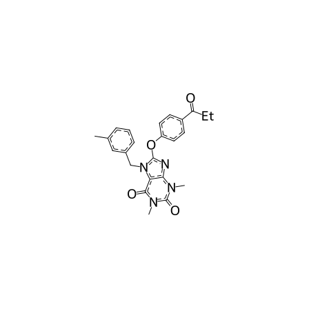 CCC(=O)c1ccc(Oc2nc3c(c(=O)n(C)c(=O)n3C)n2Cc2cccc(C)c2)cc1